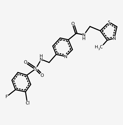 Cc1ncsc1CNC(=O)c1ccc(CNS(=O)(=O)c2ccc(F)c(Cl)c2)nc1